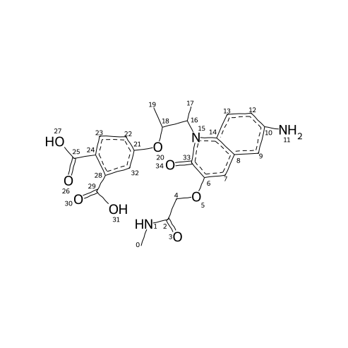 CNC(=O)COc1cc2cc(N)ccc2n(C(C)C(C)Oc2ccc(C(=O)O)c(C(=O)O)c2)c1=O